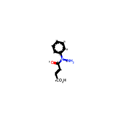 NN(C(=O)C=CC(=O)O)c1ccccc1